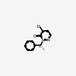 C[C@H](c1ccccc1)n1nccc(Cl)c1=O